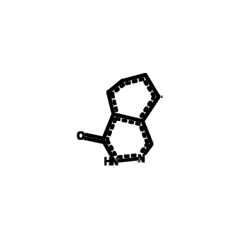 O=c1[nH]ncc2[c]cccc12